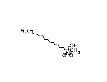 CCCCCCCCCCCCCCCC(C)(CO)[N+](=O)[O-]